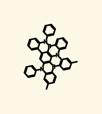 Cc1ccc2c(c1)N(c1ccccc1)c1cc3c4c5c1B2c1ccc(C)cc1N5c1ccccc1B4N(c1ccccc1)c1ccccc1-3